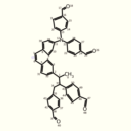 CC(c1ccc(/C=C\c2ccc(N(c3ccc(C=O)cc3)c3ccc(C=O)cc3)cc2)cc1)C(Cc1ccc(C=O)cc1)c1ccc(C=O)cc1